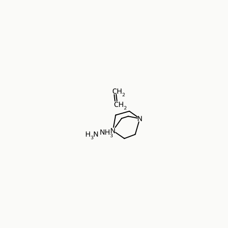 C1CN2CCN1CC2.C=C.N.N